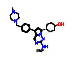 CC[C@H](C)Nc1ncc2c(-c3ccc(CN4CCN(C)CC4)cc3)cc([C@H]3CC[C@H](O)CC3)n2n1